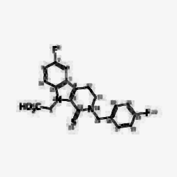 O=C(O)Cn1c2c(c3cc(F)ccc31)CCN(Cc1ccc(F)cc1)C2=S